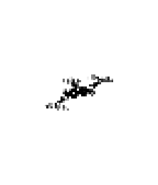 CCCCN(CCCC)CCCOC(=O)c1ccc2c(c1)[nH]c(=O)c1cc(C(=O)OCCCN(CCCC)CCCC)ccc12.Cl.Cl